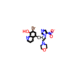 Cc1cc(Br)c(O)c2ncccc12.O=[N+]([O-])c1cncn1CCN1CCOCC1